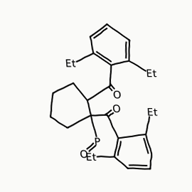 CCc1cccc(CC)c1C(=O)C1CCCCC1(P=O)C(=O)c1c(CC)cccc1CC